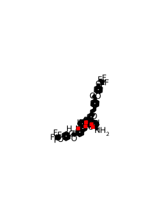 Nc1ccc(CC(CC(=O)C=Cc2ccc(C(=O)Oc3ccc(OC(F)(F)C(F)F)cc3)cc2)(Cc2ccc(N)cc2)C(O)(O)C(=O)C=Cc2ccc(C(=O)Oc3ccc(OC(F)(F)C(F)F)cc3)cc2)cc1